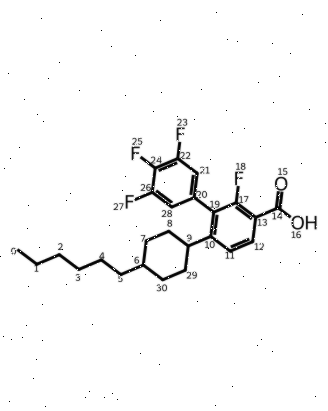 CCCCCCC1CCC(c2ccc(C(=O)O)c(F)c2-c2cc(F)c(F)c(F)c2)CC1